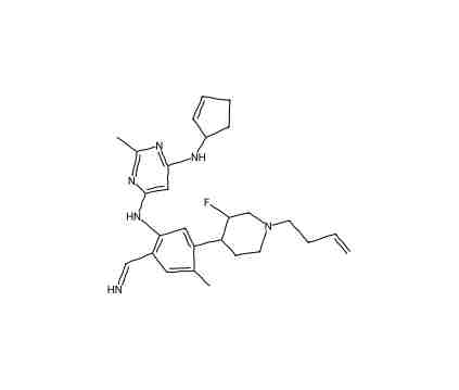 C=CCCN1CCC(c2cc(Nc3cc(NC4C=CCC4)nc(C)n3)c(C=N)cc2C)C(F)C1